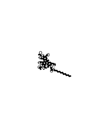 CCCCCCCCCCCCSC(=O)COc1c(COC)cc(C(C)(c2cc(COC)c(OCC(C)=O)c(COC)c2)c2cc(COC)c(OCC(C)=O)c(COC)c2)cc1COC